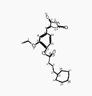 CCOc1cc(/C=C2\SC(=O)NC2=O)ccc1OC(=O)CCCC1CCCCC1